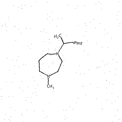 CCCC(C)C(C)N1CCCN(C)CC1